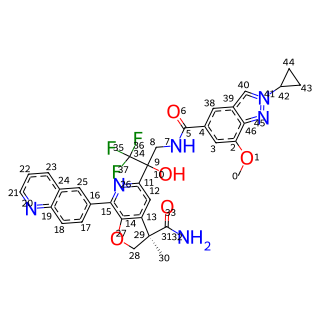 COc1cc(C(=O)NCC(O)(c2cc3c(c(-c4ccc5ncccc5c4)n2)OC[C@]3(C)C(N)=O)C(F)(F)F)cc2cn(C3CC3)nc12